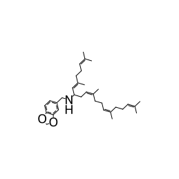 CC(C)=CCCC(C)=CCCC(C)=CCC(/C=C(\C)CCC=C(C)C)NCc1ccc2c(c1)OCO2